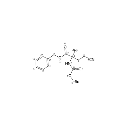 [2H]C(CCC#N)(NC(=O)OC(C)(C)C)C(=O)OCc1ccccc1